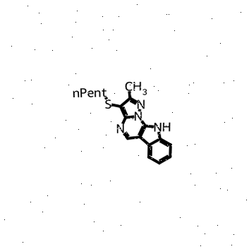 CCCCCSc1c(C)nn2c1ncc1c3ccccc3[nH]c12